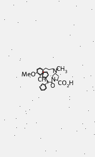 COc1ccc(CCCN(C)[C@H]2C[C@@H](C(=O)O)N(C(=O)C(c3ccccc3)c3ccccc3)C2)cc1C